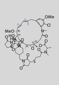 COc1cc2cc(c1Cl)N(C)C(=O)C[C@H](OC(=O)C(C)N(C)C(=O)CCSC1CC(=O)N(CC3CCC(C(=O)ON4C(=O)CCC4=O)CC3)C1=O)[C@]1(C)OC1[C@H](C)[C@@H]1C[C@@](O)(NC(=O)O1)[C@H](OC)/C=C/C=C(\C)C2